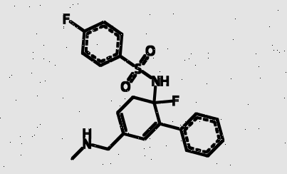 CNCC1=CCC(F)(NS(=O)(=O)c2ccc(F)cc2)C(c2ccccc2)=C1